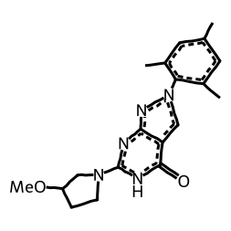 COC1CCN(c2nc3nn(-c4c(C)cc(C)cc4C)cc3c(=O)[nH]2)C1